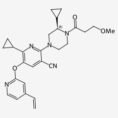 C=Cc1ccnc(Oc2cc(C#N)c(N3CCN(C(=O)CCOC)[C@H](C4CC4)C3)nc2C2CC2)c1